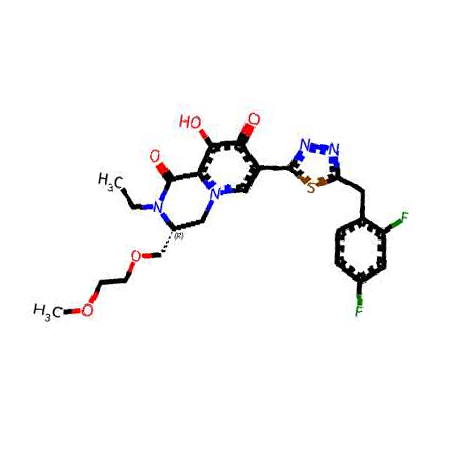 CCN1C(=O)c2c(O)c(=O)c(-c3nnc(Cc4ccc(F)cc4F)s3)cn2C[C@@H]1COCCOC